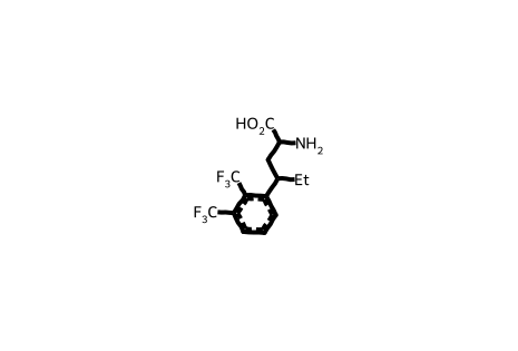 CCC(CC(N)C(=O)O)c1cccc(C(F)(F)F)c1C(F)(F)F